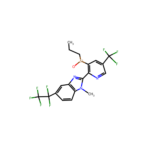 CCC[S+]([O-])c1cc(C(F)(F)F)cnc1-c1nc2cc(C(F)(F)C(F)(F)F)ccc2n1C